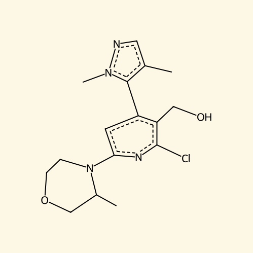 Cc1cnn(C)c1-c1cc(N2CCOCC2C)nc(Cl)c1CO